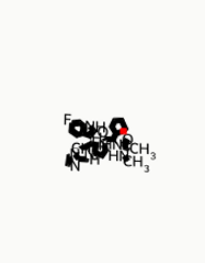 CN[C@@H](C)C(=O)N[C@H](C(=O)N1CC[C@@H]2[C@H]1[C@@H](c1c[nH]c3cc(F)ccc13)CN2Cc1nccn1C)C1CCCCC1